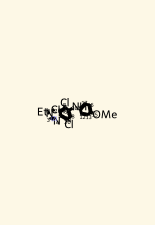 CCN(C)/C=N\c1cc(Cl)c(Nc2ccc(OC)cc2)cc1Cl